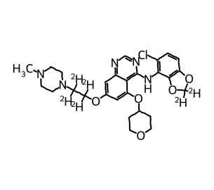 [2H]C1([2H])Oc2ccc(Cl)c(Nc3ncnc4cc(OC([2H])([2H])C([2H])([2H])N5CCN(C)CC5)cc(OC5CCOCC5)c34)c2O1